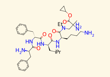 CCN(CC(C)(N)C(=O)OC1CC1)C(=O)[C@@H](CCCCN)NC(=O)[C@@H](CC(C)C)NC(=O)[C@@H](Cc1ccccc1)NC(=O)[C@H](N)Cc1ccccc1